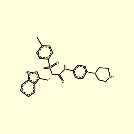 Cc1ccc(S(=O)(=O)[C@@H](Cc2c[nH]c3ccccc23)C(=O)Nc2ccc(N3CCNCC3)cc2)cc1